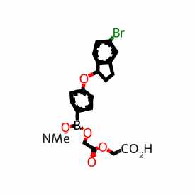 CNOB(OCC(=O)OCC(=O)O)c1ccc(OC2CCc3cc(Br)ccc32)cc1